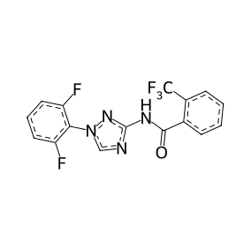 O=C(Nc1ncn(-c2c(F)cccc2F)n1)c1ccccc1C(F)(F)F